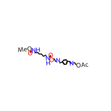 COC(=O)NCCCCCCNC(=O)OCC/N=C/c1ccc(/C=N/CCOC(C)=O)cc1